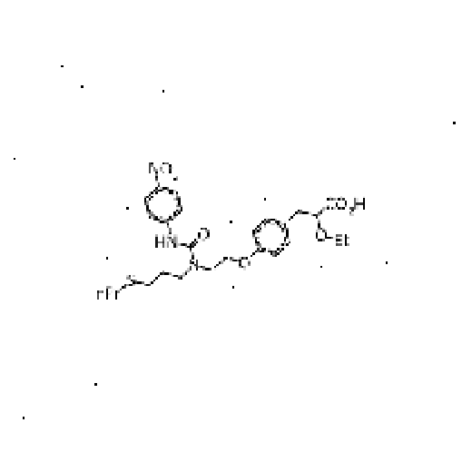 CCCSCCCN(CCOc1ccc(CC(OCC)C(=O)O)cc1)C(=O)Nc1ccc([N+](=O)[O-])cc1